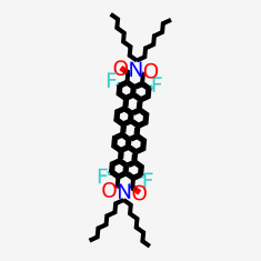 CCCCCCCC(CCCCCCC)N1C(=O)c2c(F)cc3c4ccc5c6ccc7c8cc(F)c9c%10c(c(F)cc(c%11ccc(c%12ccc(c%13cc(F)c(c2c3%13)C1=O)c4c5%12)c6c7%11)c%108)C(=O)N(C(CCCCCCC)CCCCCCC)C9=O